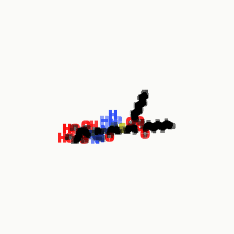 CCCCCCC(=O)OCC(CSCC(N)C(=O)Nc1cn([C@H]2OC(CO)[C@@H](O)[C@H]2O)nn1)OC(=O)CCCCCC